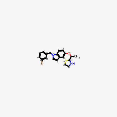 CC(Oc1ccc2c(ccn2Cc2cccc(Br)c2)c1)C1NCCS1